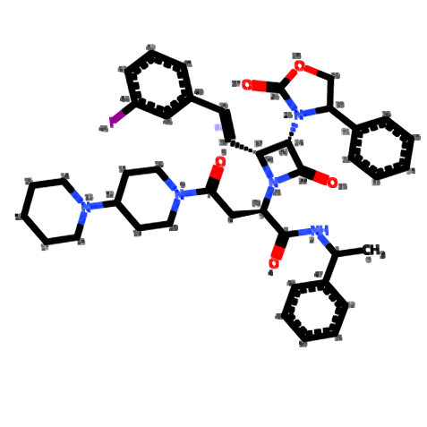 CC(NC(=O)[C@@H](CC(=O)N1CCC(N2CCCCC2)CC1)N1C(=O)[C@@H](N2C(=O)OCC2c2ccccc2)[C@H]1/C=C/c1cccc(I)c1)c1ccccc1